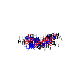 CCC(C)N1C[C@@H](COP(=O)(N(C)C)N2C[C@@H](COP(=O)(N(C)C)N3C[C@@H](COP(=O)(N(C)C)N4C[C@@H](COP(=O)(N(C)C)N5C[C@@H](COP(=O)(N(C)C)N6C[C@@H](COP(=O)(N(C)C)N7C[C@@H](COP(=O)(C(C)C)N(C)C)O[C@@H](n8cc(C)c(=O)[nH]c8=O)C7)O[C@@H](C)C6)O[C@@H](C)C5)O[C@@H](n5ccc(N)nc5=O)C4)O[C@@H](n4cnc5c(N)ncnc54)C3)O[C@@H](n3cc(C)c(=O)[nH]c3=O)C2)O[C@@H](C)C1